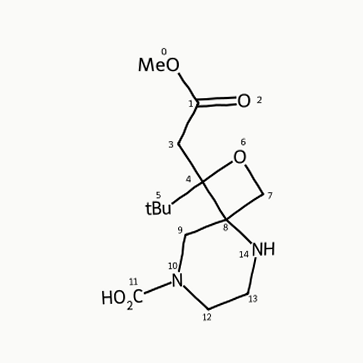 COC(=O)CC1(C(C)(C)C)OCC12CN(C(=O)O)CCN2